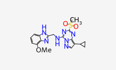 COc1cccc2[nH]c(CNc3nc(S(C)(=O)=O)nc4c(C5CC5)cnn34)nc12